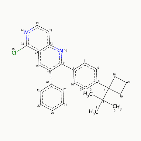 CC(C)(C)C1(c2ccc(-c3nc4ccnc(Cl)c4cc3-c3ccccc3)cc2)CCC1